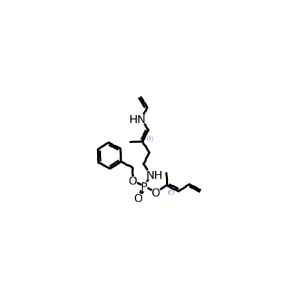 C=C/C=C(\C)OP(=O)(NCC/C(C)=C/NC=C)OCc1ccccc1